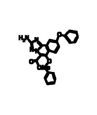 COC(=O)c1c(OCc2ccccc2)c2ccc(Oc3ccccc3)cc2c2nc(N)nn12